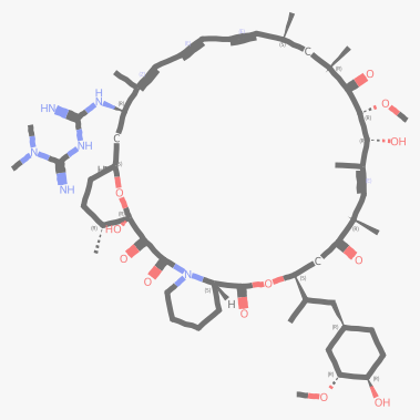 CO[C@@H]1C[C@@H](CC(C)[C@@H]2CC(=O)[C@H](C)/C=C(\C)[C@@H](O)[C@@H](OC)C(=O)[C@H](C)C[C@H](C)/C=C/C=C/C=C(/C)[C@H](NC(=N)NC(=N)N(C)C)C[C@@H]3CC[C@@H](C)[C@@](O)(O3)C(=O)C(=O)N3CCCC[C@H]3C(=O)O2)CC[C@H]1O